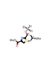 CC[Si](CC)(CC)O[C@H](C[C@@H](NC)C(C)C)c1nc(C(=O)OC)cs1